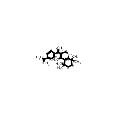 C=C(C)c1ccc(C(=C)C2=C(C)C3=C(SC2)C(C)(C)CCC3(C)C)cc1